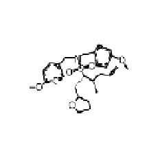 C=CC[C@@H](C)[C@H](C[C@H]1CCCO1)S(=O)(=O)N(Cc1ccc(OC)cc1)Cc1ccc(OC)cc1